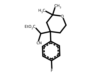 CCOC(=O)C(C#N)C1(c2ccc(F)cc2)CCOC(C)(C)C1